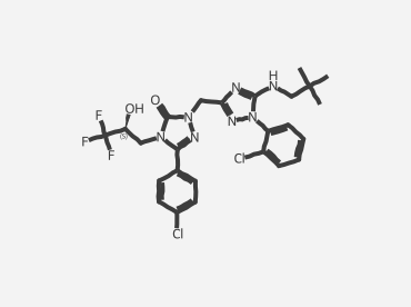 CC(C)(C)CNc1nc(Cn2nc(-c3ccc(Cl)cc3)n(C[C@H](O)C(F)(F)F)c2=O)nn1-c1ccccc1Cl